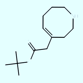 CC(C)(C)OC(=O)C/C1=C/CCCNCC1